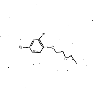 CCOCCOc1ccc(Br)cc1F